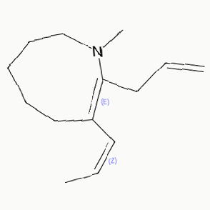 C=CC/C1=C(\C=C/C)CCCCCN1C